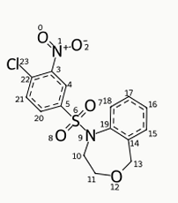 O=[N+]([O-])c1cc(S(=O)(=O)N2CCOCc3ccccc32)ccc1Cl